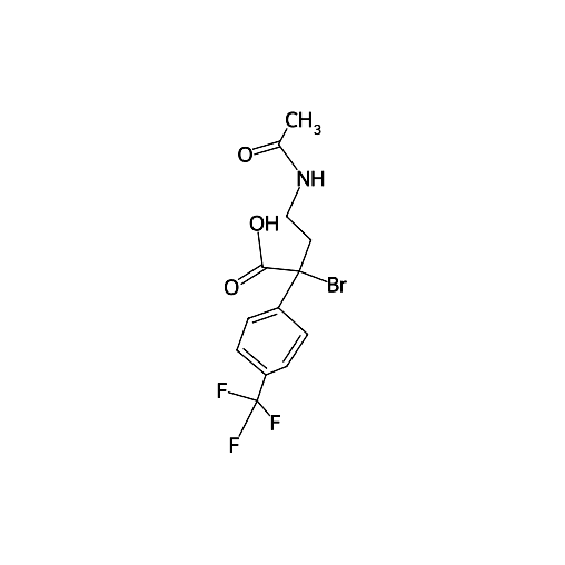 CC(=O)NCCC(Br)(C(=O)O)c1ccc(C(F)(F)F)cc1